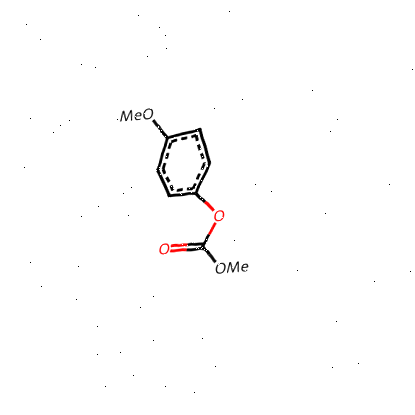 [CH2]OC(=O)Oc1ccc(OC)cc1